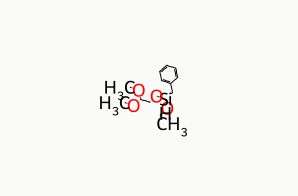 CCO[SiH](Cc1ccccc1)OCC(OC)OC